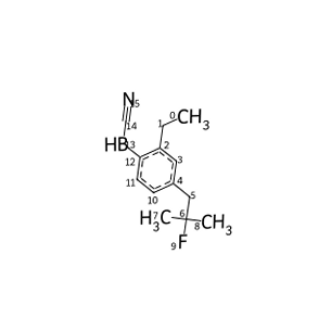 CCc1cc(CC(C)(C)F)ccc1BC#N